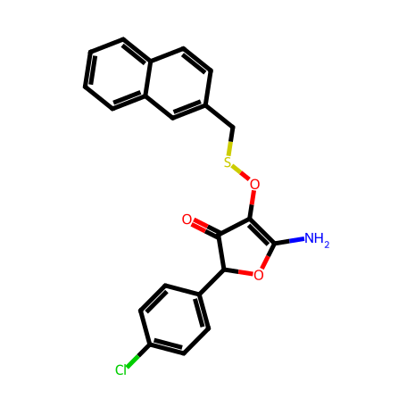 NC1=C(OSCc2ccc3ccccc3c2)C(=O)C(c2ccc(Cl)cc2)O1